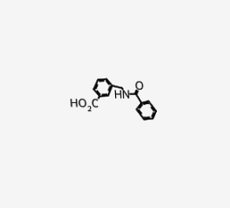 O=C(O)c1cccc(CNC(=O)c2ccccc2)c1